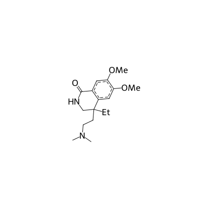 CCC1(CCN(C)C)CNC(=O)c2cc(OC)c(OC)cc21